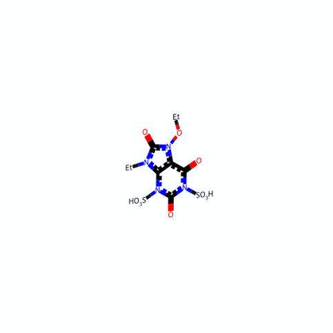 CCOn1c(=O)n(CC)c2c1c(=O)n(S(=O)(=O)O)c(=O)n2S(=O)(=O)O